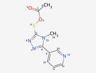 CC(=O)OSc1nnc(-c2cccnc2)n1C